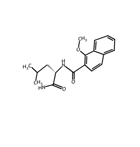 COc1c(C(=O)N[C@@H](CC(C)C)C([NH])=O)ccc2ccccc12